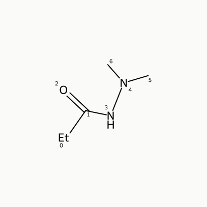 [CH2]CC(=O)NN(C)C